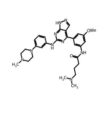 COc1cc(NC(=O)CCCN(C)C)cc(-c2nc(Nc3cccc(N4CCN(C)CC4)c3)nc3[nH]ncc23)c1